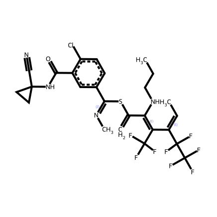 C=C(S/C(=N\C)c1ccc(Cl)c(C(=O)NC2(C#N)CC2)c1)/C(NCCC)=C(/C(=C\C)C(F)(F)C(F)(F)F)C(F)(F)F